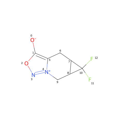 [O-]c1on[n+]2c1CC1C(C2)C1(F)F